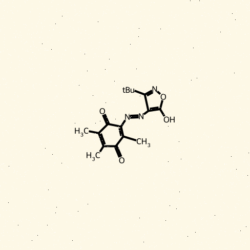 CC1=C(C)C(=O)C(N=Nc2c(C(C)(C)C)noc2O)=C(C)C1=O